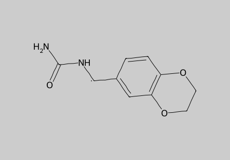 NC(=O)N[CH]c1ccc2c(c1)OCCO2